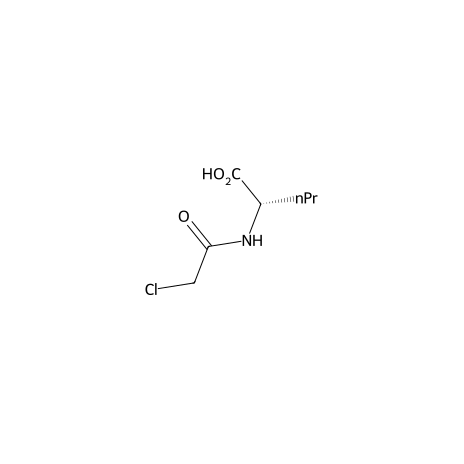 CCC[C@H](NC(=O)CCl)C(=O)O